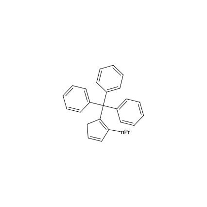 CCCC1=C(C(c2ccccc2)(c2ccccc2)c2ccccc2)CC=C1